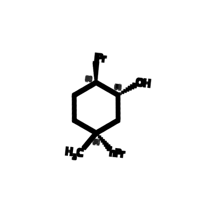 CCC[C@]1(C)CC[C@@H](C(C)C)[C@H](O)C1